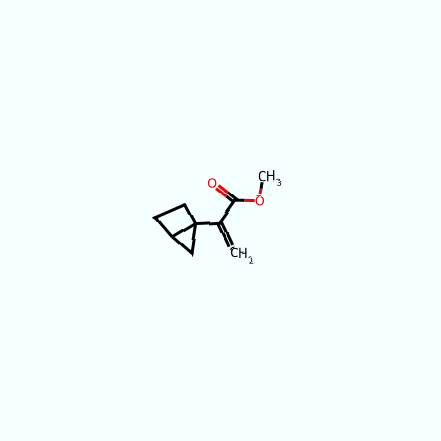 C=C(C(=O)OC)C12CCC1C2